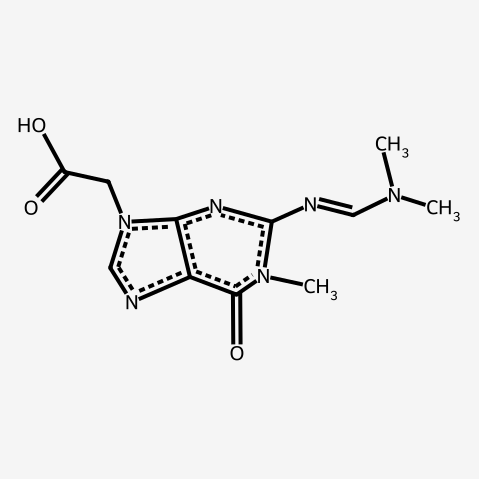 CN(C)/C=N/c1nc2c(ncn2CC(=O)O)c(=O)n1C